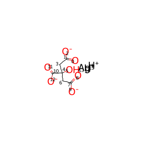 O=C([O-])CC(O)(CC(=O)[O-])C(=O)[O-].[Ag+].[H+].[H+]